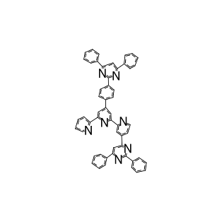 c1ccc(-c2cc(-c3ccccc3)nc(-c3ccc(-c4cc(-c5ccccn5)nc(-c5cc(-c6cc(-c7ccccc7)nc(-c7ccccc7)n6)ccn5)c4)cc3)n2)cc1